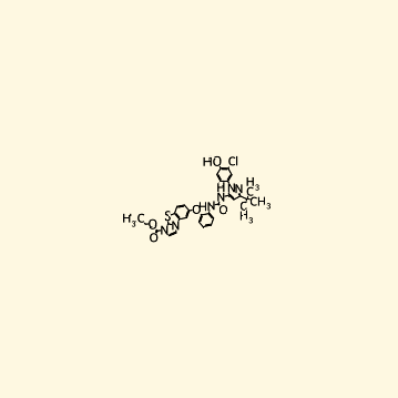 CCOC(=O)N1C=CN2c3cc(Oc4ccccc4NC(=O)Nc4cc(C(C)(C)C)nn4-c4ccc(O)c(Cl)c4)ccc3SC12